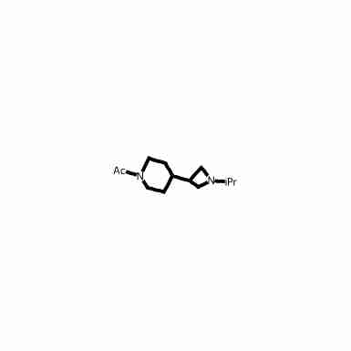 CC(=O)N1CCC(C2CN(C(C)C)C2)CC1